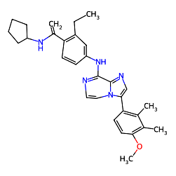 C=C(NC1CCCC1)c1ccc(Nc2nccn3c(-c4ccc(OC)c(C)c4C)cnc23)cc1CC